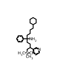 C[Si](C)(C)CC(CCC(N)(CCCCC1CCCCC1)c1ccccc1)c1cccnc1